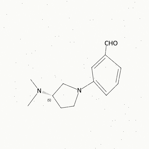 CN(C)[C@H]1CCN(c2cccc(C=O)c2)C1